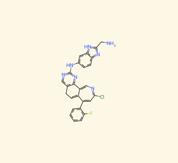 NCc1nc2ccc(Nc3ncc4c(n3)C3=CN=C(Cl)C=C(c5ccccc5F)C3=CC4)cc2[nH]1